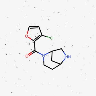 O=C(c1occc1Cl)N1CCC2CC1CN2